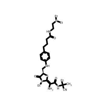 CCN(CC)CCNC(=O)CCCc1ccc(NC[C@H]2S/C(=C(/N)C(=O)NC(C)(C#N)CC)N(CC)C2=O)cc1